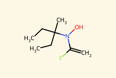 C=C(F)N(O)C(C)(CC)CC